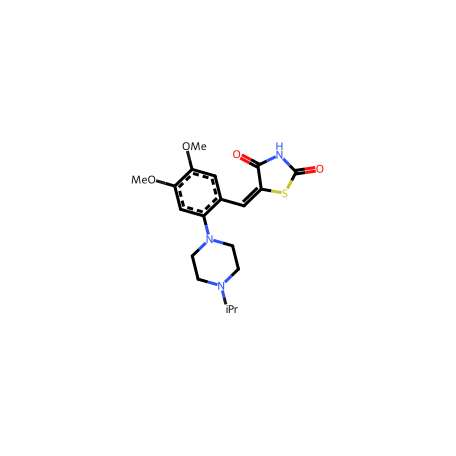 COc1cc(C=C2SC(=O)NC2=O)c(N2CCN(C(C)C)CC2)cc1OC